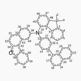 CC1(C)c2ccccc2-c2c(N(c3ccc(-c4cccc5ccccc45)cc3)c3ccc4ccc5oc6ccccc6c5c4c3)cccc21